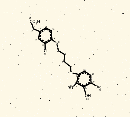 CCCc1c(OCCCCSc2ccc(CC(=O)O)cc2Cl)ccc(C(C)=O)c1O